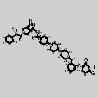 CO[C@@H](C(=O)N1Cc2[nH]nc(NC(=O)c3ccc(N4CCC(N5CCN(Cc6ccccc6NC6CCC(=O)NC6=O)CC5)CC4)cc3)c2C1)c1ccccc1